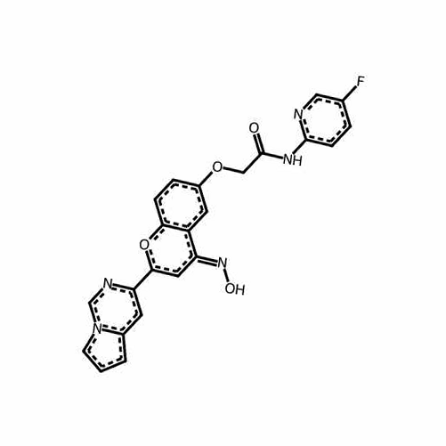 O=C(COc1ccc2oc(-c3cc4cccn4cn3)cc(=NO)c2c1)Nc1ccc(F)cn1